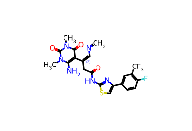 C=N/C=C(/CC(=O)Nc1nc(-c2ccc(F)c(C(F)(F)F)c2)cs1)c1c(N)n(C)c(=O)n(C)c1=O